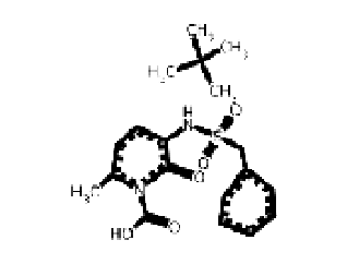 CC(C)(C)C.Cc1ccc(NS(=O)(=O)Cc2ccccc2)c(=O)n1C(=O)O